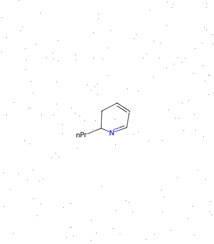 CCCC1CC=CC=N1